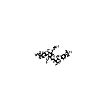 CC1=NN(c2ccc(S(=O)(=O)O)cc2)C(=O)C1=CC=Cc1c(C)c(C#N)c(=O)n(-c2ccc(S(=O)(=O)O)cc2)c1O.[KH]